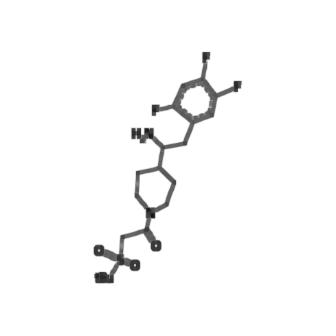 CC(C)(C)S(=O)(=O)CC(=O)N1CCC(C(N)Cc2cc(F)c(F)cc2F)CC1